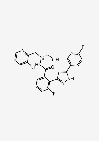 O=C(N[C@@H](CO)Cc1ncccc1Cl)c1cccc(F)c1-c1cc(-c2ccc(F)cc2)[nH]n1